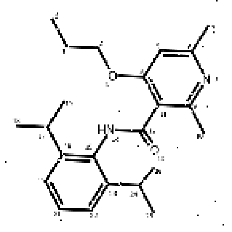 CCCOc1cc(C)nc(C)c1C(=O)Nc1c(C(C)C)cccc1C(C)C